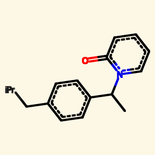 CC(C)Cc1ccc(C(C)n2ccccc2=O)cc1